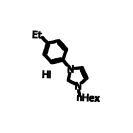 CCCCCCN1C=CN(c2ccc(CC)cc2)C1.I